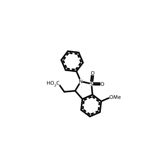 COc1cccc2c1S(=O)(=O)N(c1ccccc1)C2CC(=O)O